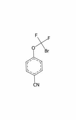 N#Cc1ccc(OC(F)(F)Br)cc1